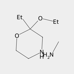 CCOC1(CC)CNCCO1.CN